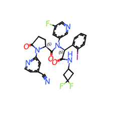 N#Cc1ccnc(N2C(=O)CC[C@H]2C(=O)N(c2cncc(F)c2)[C@H](C(=O)NC2CC(F)(F)C2)c2ccccc2I)c1